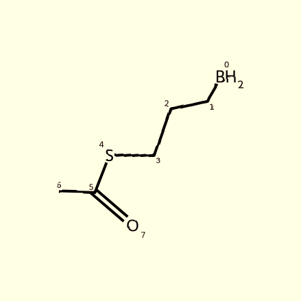 BCCCSC(C)=O